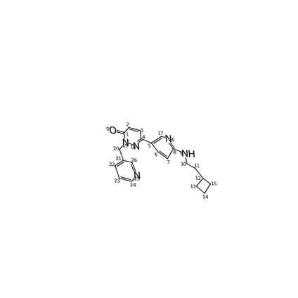 O=c1ccc(-c2ccc(NCCC3CCC3)nc2)nn1Cc1cccnc1